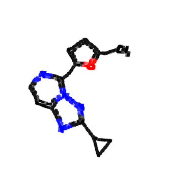 Cc1ccc(-c2nccc3nc(C4CC4)nn23)o1